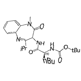 CCCC[C@H](NC(=O)OC(C)(C)C)C(=O)NC1C(=O)N(C)c2ccccc2N=C1C(C)C